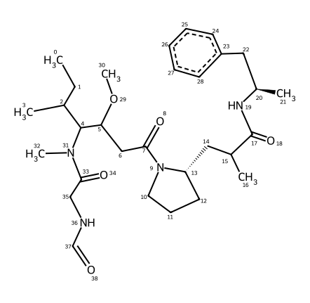 CCC(C)C(C(CC(=O)N1CCC[C@H]1CC(C)C(=O)N[C@H](C)Cc1ccccc1)OC)N(C)C(=O)CNC=O